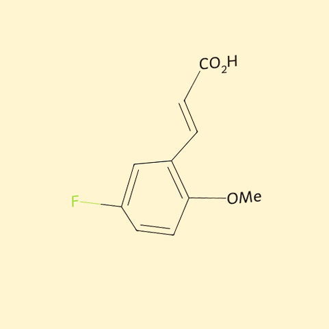 COc1ccc(F)cc1C=CC(=O)O